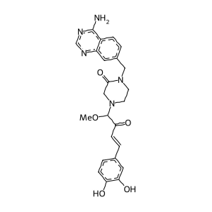 COC(C(=O)/C=C/c1ccc(O)c(O)c1)N1CCN(Cc2ccc3c(N)ncnc3c2)C(=O)C1